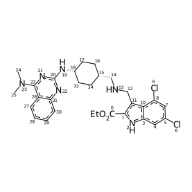 CCOC(=O)c1[nH]c2cc(Cl)cc(Cl)c2c1CNC[C@H]1CC[C@@H](Nc2nc(N(C)C)c3ccccc3n2)CC1